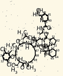 CC[C@H]1NC(=O)[C@H](Cc2cc(Cl)ccc2Cl)N(C)C(=O)[C@H](CC(C)C)NC(=O)[C@@H](N(C)C(=O)[C@H](CCNC(=O)c2cccc(NC)n2)NC(=O)[C@@H]2CCCN2C(=O)C2(C(F)(F)F)CCCCC2)CCCCN(C)C1=O